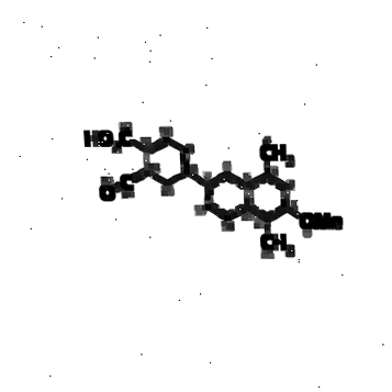 COc1cc(C)c2cc(C3=CC=C(C(=O)O)C(=C=O)C3)ccc2c1C